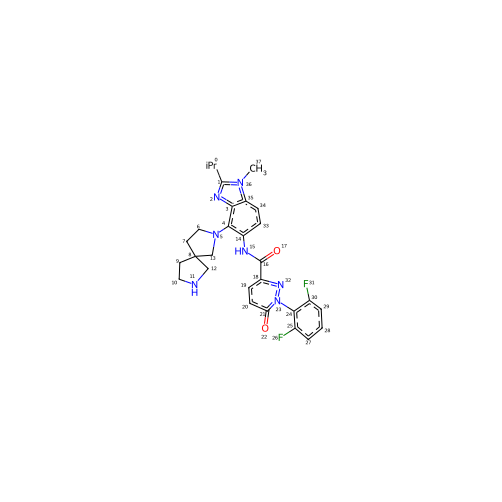 CC(C)c1nc2c(N3CCC4(CCNC4)C3)c(NC(=O)c3ccc(=O)n(-c4c(F)cccc4F)n3)ccc2n1C